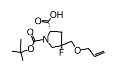 C=CCOC[C@@]1(F)C[C@@H](C(=O)O)N(C(=O)OC(C)(C)C)C1